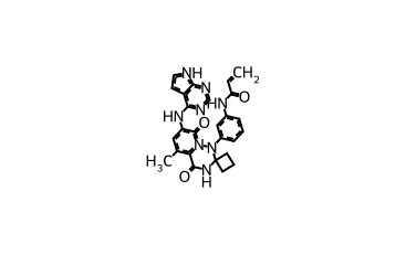 C=CC(=O)Nc1cccc(N2n3c(c(C)cc(Nc4ncnc5[nH]ccc45)c3=O)C(=O)NC23CCC3)c1